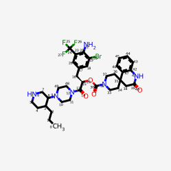 CCCC1CCNCC1N1CCN(C(=O)[C@@H](Cc2cc(Br)c(N)c(C(F)(F)F)c2)OC(=O)N2CCC3(CC2)CC(=O)Nc2ccccc23)CC1